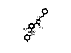 Cc1ccc(-c2sc(NCC3CCCCC3)nc2C)cc1S(=O)(=O)NC1CCCC(O)C1